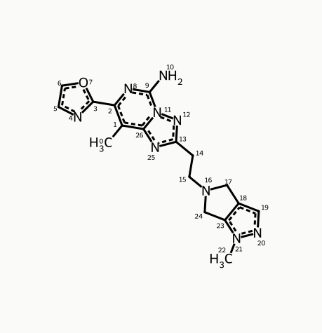 Cc1c(-c2ncco2)nc(N)n2nc(CCN3Cc4cnn(C)c4C3)nc12